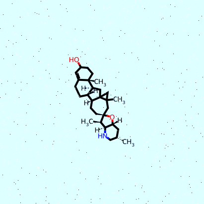 C[C@@H]1CN[C@H]2[C@@H](C)[C@@]3(CC[C@H]4[C@@H]5CCC6=CC(O)CC[C@]6(C)[C@H]5CC45CC5(C)C3)O[C@@H]2C1